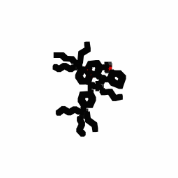 CCCCN(P(c1ccc([Si](CCCC)(CCCC)CCCC)cc1)c1ccc([Si](CCCC)(CCCC)CCCC)cc1)P(c1ccccc1F)c1ccccc1F